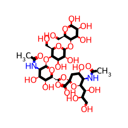 CC(=O)N[C@H]1[C@H](O[C@@H]2[C@H](O)[C@@H](O)[C@H](O[C@H]3[C@H](O)[C@@H](O)[C@H](O)O[C@@H]3CO)O[C@@H]2CO)O[C@H](CO[C@]2(C(=O)O)C[C@H](O)[C@@H](NC(C)=O)[C@H]([C@H](O)[C@H](O)CO)O2)[C@H](O)[C@@H]1O